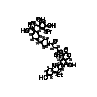 CCc1c2c(nc3ccc(O)cc13)C1=CC3=C(COC(=O)C3(CC)OC(=O)CCC(=O)N3CCC(Cc4ccc(-n5c(O)nnc5-c5cc(C(C)C)c(O)cc5O)cc4)CC3)C(O)N1C2